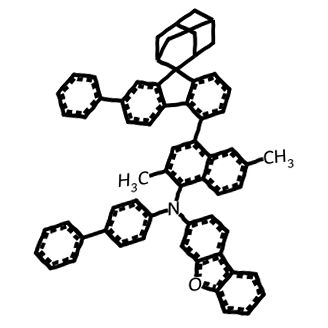 Cc1ccc2c(N(c3ccc(-c4ccccc4)cc3)c3ccc4c(c3)oc3ccccc34)c(C)cc(-c3cccc4c3-c3ccc(-c5ccccc5)cc3C43C4CC5CC(C4)CC3C5)c2c1